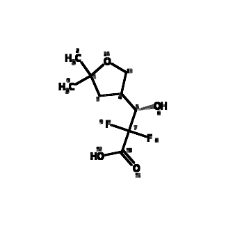 CC1(C)CC([C@H](O)C(F)(F)C(=O)O)CO1